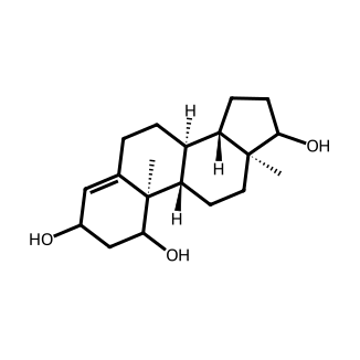 C[C@]12CC[C@H]3[C@@H](CCC4=CC(O)CC(O)[C@@]43C)[C@@H]1CCC2O